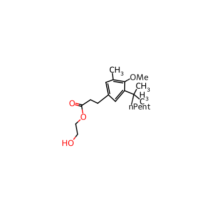 CCCCCC(C)(C)c1cc(CCC(=O)OCCO)cc(C)c1OC